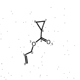 C=C[CH]OC(=O)C1CC1